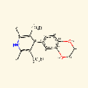 CCOC(=O)C1=C(C)NC(C)=C(C(=O)OCC)C1c1ccc2c(c1)OCCO2